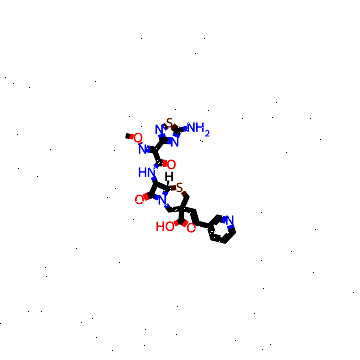 CON=C(C(=O)NC1C(=O)N2CC(C=Cc3cccnc3)(C(=O)O)CS[C@H]12)c1nsc(N)n1